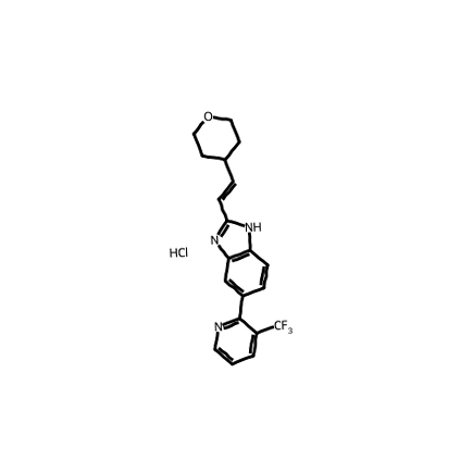 Cl.FC(F)(F)c1cccnc1-c1ccc2[nH]c(/C=C/C3CCOCC3)nc2c1